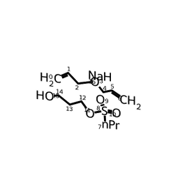 C=CCOCC=C.CCCS(=O)(=O)OCCCO.[NaH]